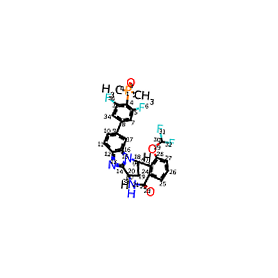 CP(C)(=O)c1c(F)cc(-c2ccc3nc4n(c3c2)[C@@H]2C[C@H]4NC(=O)c3cccc(OC(F)F)c32)cc1F